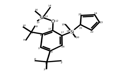 CC(C)(C)c1cc(C(C)(C)C)c(O[Si](C)(C)C)c([Si](C)(C)C2C=CC=C2)c1